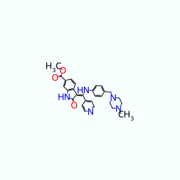 COC(=O)c1ccc2c(c1)NC(=O)C2=C(Nc1ccc(CN2CCN(C)CC2)cc1)c1ccncc1